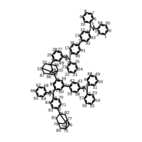 c1ccc(N(c2ccccc2)c2ccc(-c3ccc(N(c4ccccc4)c4cccc(C56CC7CC(C5)C(c5cc(-c8ccc(N(c9ccccc9)c9ccccc9)cc8)cc(N(c8ccccc8)c8ccc(C9%10CC%11CC(CC(C%11)C9)C%10)cc8)c5)C(C7)C6)c4)cc3)cc2)cc1